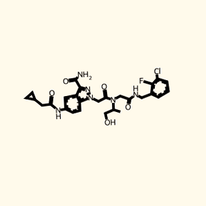 CC(CO)N(CC(=O)NCc1cccc(Cl)c1F)C(=O)Cn1nc(C(N)=O)c2cc(NC(=O)CC3CC3)ccc21